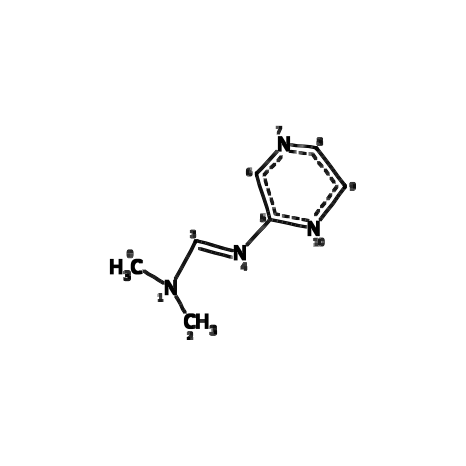 CN(C)/C=N/c1cnccn1